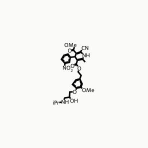 COC(=O)C1=C(C#N)NC(C)=C(C(=O)OCCc2ccc(OCC(O)CNC(C)C)c(OC)c2)C1c1cccc([N+](=O)[O-])c1